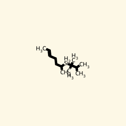 C/C=C/CCC(C)[SiH2]C(C)(C)C(C)C